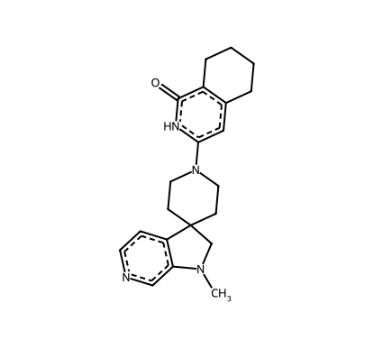 CN1CC2(CCN(c3cc4c(c(=O)[nH]3)CCCC4)CC2)c2ccncc21